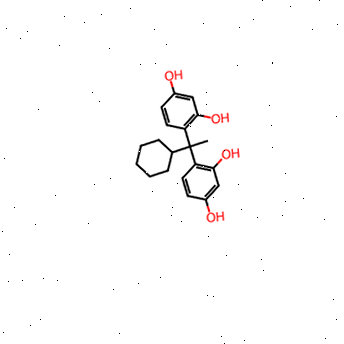 CC(c1ccc(O)cc1O)(c1ccc(O)cc1O)C1CCCCC1